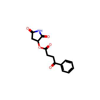 O=C1CC(OC(=O)CCC(=O)c2ccccc2)C(=O)N1